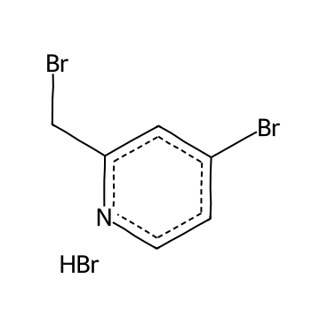 Br.BrCc1cc(Br)ccn1